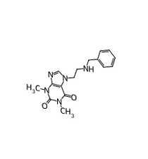 Cn1c(=O)c2c(ncn2CCNCc2ccccc2)n(C)c1=O